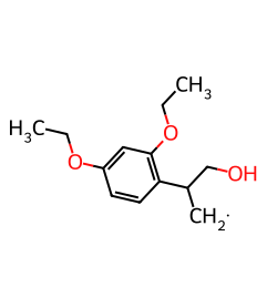 [CH2]C(CO)c1ccc(OCC)cc1OCC